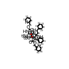 CC(C)(C)[C@H](NC(=O)OCc1ccccn1)C(=O)N[C@@H](Cc1ccccc1)C(O)(CCc1ccccc1)NC(=O)[C@@H](NC(=O)OCc1ccccn1)C(C)(C)C